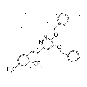 FC(F)(F)c1ccc(C=Cc2cc(OCc3ccccc3)c(OCc3ccccc3)nn2)c(C(F)(F)F)c1